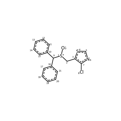 [O-][S+](Cc1scnc1Cl)C(c1ccccc1)c1ccccc1